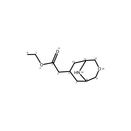 CCOC(=O)CC1CC2COCC(C1)N2